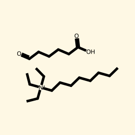 CCCCCCCC[N+](CC)(CC)CC.O=CCCCCC(=O)O